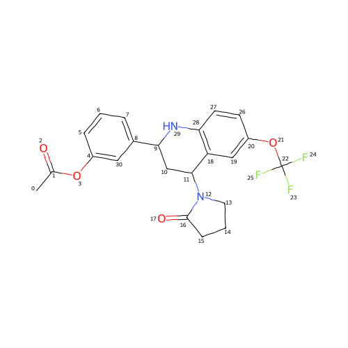 CC(=O)Oc1cccc(C2CC(N3CCCC3=O)c3cc(OC(F)(F)F)ccc3N2)c1